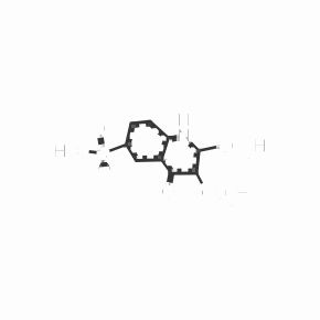 CS(=O)(=O)c1ccc2[nH]c(C(=O)O)c(C(=O)O)c(=O)c2c1